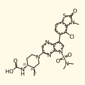 CN(C)S(=O)(=O)n1cc(-c2ccc3sc(=O)n(C)c3c2Cl)c2ncc(N3CC[C@H](NC(=O)O)[C@H](F)C3)nc21